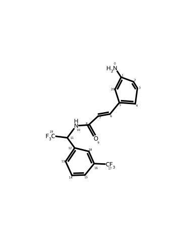 Nc1cccc(C=CC(=O)NC(c2cccc(C(F)(F)F)c2)C(F)(F)F)c1